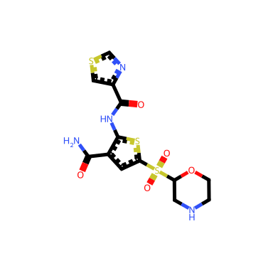 NC(=O)c1cc(S(=O)(=O)C2CNCCO2)sc1NC(=O)c1cscn1